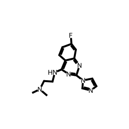 CN(C)CCNc1nc(-n2ccnc2)nc2cc(F)ccc12